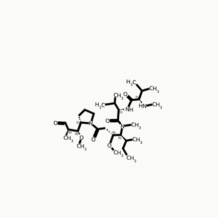 CCC(C)[C@@H]([C@@H](CC(=O)N1CCC[C@H]1[C@H](OC)[C@@H](C)C=O)OC)N(C)C(=O)[C@@H](NC(=O)[C@@H](NC)C(C)C)C(C)C